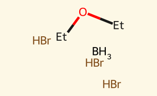 B.Br.Br.Br.CCOCC